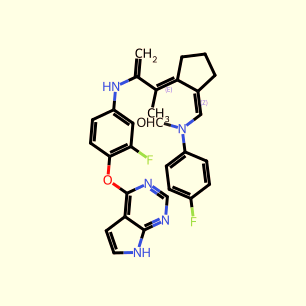 C=C(Nc1ccc(Oc2ncnc3[nH]ccc23)c(F)c1)/C(C)=C1\CCC\C1=C\N(C=O)c1ccc(F)cc1